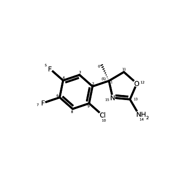 C[C@]1(c2cc(F)c(F)cc2Cl)COC(N)=N1